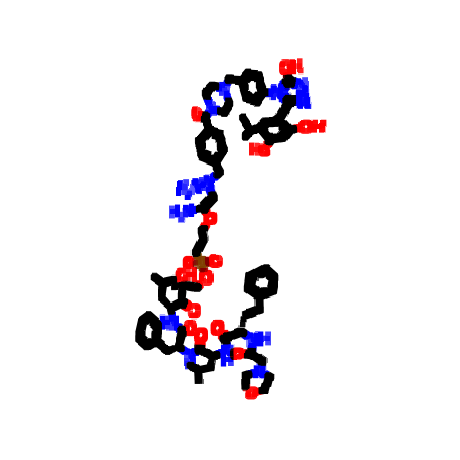 CC(C)C[C@H](NC(=O)[C@H](CCc1ccccc1)NC(=O)CN1CCOCC1)C(=O)N[C@@H](Cc1ccccc1)C(=O)N[C@@H](CC(C)C)C(=O)[C@](C)(O)COS(=O)(=O)CCCO/C(N)=C/N(N)Cc1ccc(C(=O)N2CCN(Cc3ccc(-n4c(O)nnc4-c4cc(C(C)C)c(O)cc4O)cc3)CC2)cc1